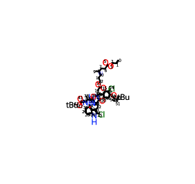 C=CCOC(=O)CC/C(C)=C/CCOC(=O)C[C@@H](NC(=O)[C@@H](Cc1c(Cl)[nH]c2ccccc12)N(C)C(=O)[C@H](C)NC(=O)OC(C)(C)C)c1ccc(O[Si](C)(C)C(C)(C)C)c(Cl)c1